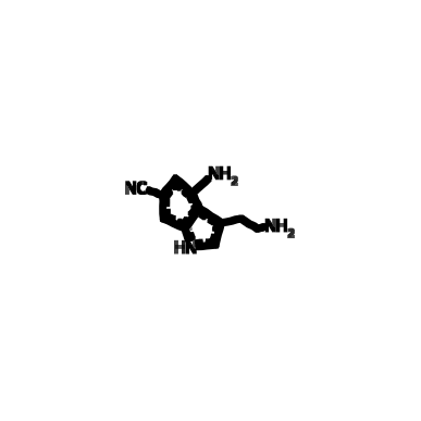 N#Cc1cc(N)c2c(CCN)c[nH]c2c1